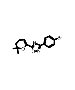 CC1(C)CCC=C(c2nc(-c3ccc(Br)cc3)no2)O1